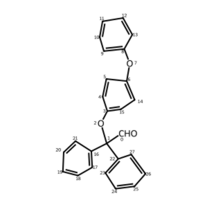 O=CC(Oc1ccc(Oc2ccccc2)cc1)(c1ccccc1)c1ccccc1